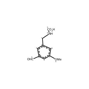 COc1cc(C=O)cc(CNC(=O)O)c1